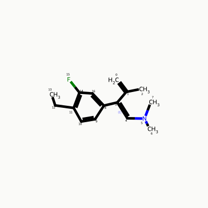 C=C(C)/C(=C\N(C)C)c1ccc(CC)c(F)c1